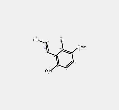 COc1ccc([N+](=O)[O-])c(/C=N/O)c1Br